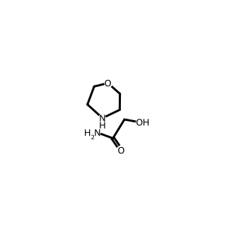 C1COCCN1.NC(=O)CO